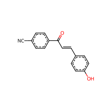 N#Cc1ccc(C(=O)C=Cc2ccc(O)cc2)cc1